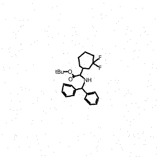 CC(C)(C)OC(=O)C(NC(c1ccccc1)c1ccccc1)C1CCCCC(F)(F)C1